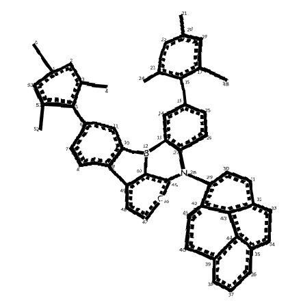 Cc1cc(C)c(-c2ccc3c(c2)B2c4cc(-c5c(C)cc(C)cc5C)ccc4N(c4ccc5ccc6cccc7ccc4c5c67)c4cccc-3c42)c(C)c1